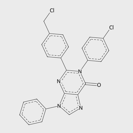 O=c1c2ncn(-c3ccccc3)c2nc(-c2ccc(CCl)cc2)n1-c1ccc(Cl)cc1